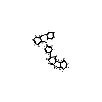 c1ccc2c(c1)Sc1ccccc1N2c1ccc(-c2cnc3oc4ccccc4c3c2)cc1